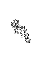 NC(c1ccc(C(=O)Nc2ccncc2)cc1)C1CCCN1C(=O)C1CCSc2ccccc21